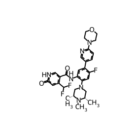 C[C@@H]1CN(c2cc(F)c(-c3ccc(N4CCOCC4)nc3)cc2NC(=O)c2c[nH]c(=O)cc2C(F)F)C[C@H](C)N1C